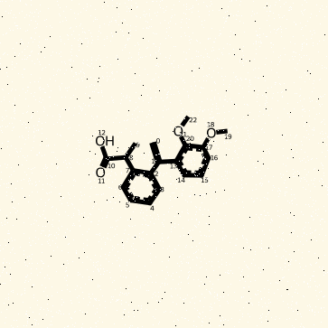 C=C(c1ccccc1C(C)C(=O)O)c1cccc(OC)c1OC